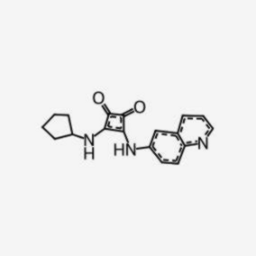 O=c1c(Nc2ccc3ncccc3c2)c(NC2CCCC2)c1=O